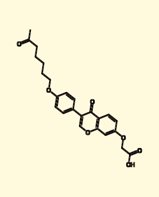 CC(=O)CCCCCOc1ccc(-c2coc3cc(OCC(=O)O)ccc3c2=O)cc1